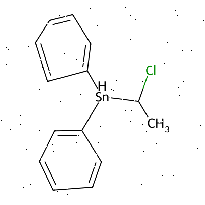 C[CH](Cl)[SnH]([c]1ccccc1)[c]1ccccc1